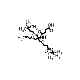 C=CCOCC(COCCC(=O)OC(C)(C)C)(COCCC(C)(C)C)NC(=O)CCC(=O)O